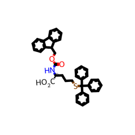 O=C(N[C@@H](CCCSC(c1ccccc1)(c1ccccc1)c1ccccc1)C(=O)O)OCC1c2ccccc2-c2ccccc21